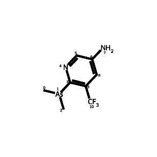 C[As](C)c1ncc(N)cc1C(F)(F)F